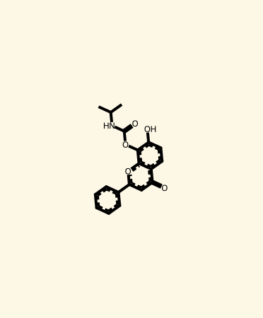 CC(C)NC(=O)Oc1c(O)ccc2c(=O)cc(-c3ccccc3)oc12